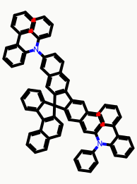 c1ccc(-c2ccccc2N(c2ccccc2)c2ccc3cc4c(cc3c2)C2(c3cc5cc(N(c6ccccc6)c6ccccc6-c6ccccc6)ccc5cc3-4)c3ccccc3-c3c2ccc2ccccc32)cc1